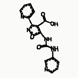 O=C(Nc1cccnc1)Nc1onc(-c2ccccn2)c1C(=O)O